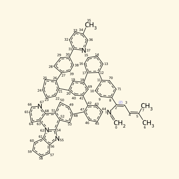 C=N/C(=C\C=C(C)C)c1ccc(-c2ccccc2-c2cc(-c3ccccc3-c3ccc(-c4ccc(C)cn4)cc3)cc(-c3ccccc3-c3ccc4c(c3)c3nc5ccccc5n3c3cccnc43)c2)cc1